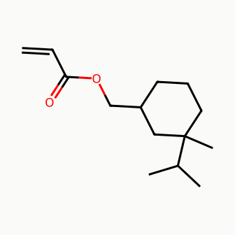 C=CC(=O)OCC1CCCC(C)(C(C)C)C1